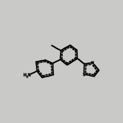 Cc1ccc(-c2nccs2)cc1-c1ccc(N)cc1